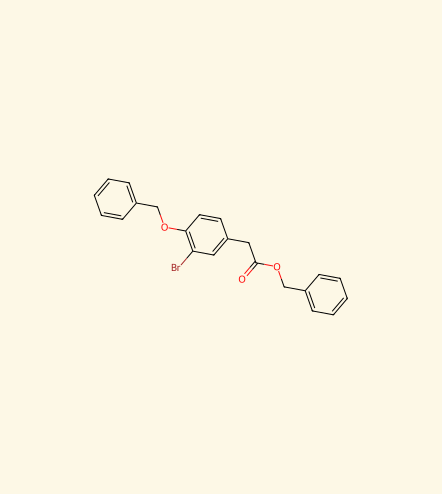 O=C(Cc1ccc(OCc2ccccc2)c(Br)c1)OCc1ccccc1